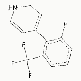 Fc1cccc(C(F)(F)F)c1C1=CCNC=C1